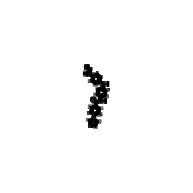 O=CNc1ccc(Nc2ccc(NC(=O)c3ccc(-n4ccnc4)cc3)cc2)cc1